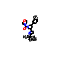 COCC(C)(C)C1=CCC(C2CC(c3cccc(C(F)(F)F)c3)CN(C(=O)N3CCOCC3)C2)=N1